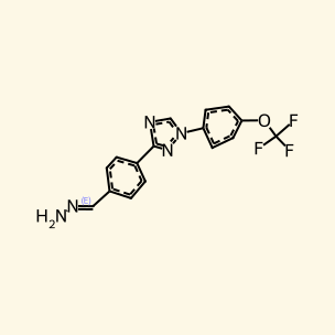 N/N=C/c1ccc(-c2ncn(-c3ccc(OC(F)(F)F)cc3)n2)cc1